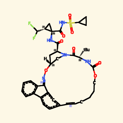 CC(C)(C)[C@@H]1NC(=O)OCCCC/C=C/c2ccc3c(c2)/C(=N\O[C@@H]2C[C@@H](C(=O)N[C@]4(C(=O)NS(=O)(=O)C5CC5)C[C@H]4C(F)F)N(C2)C1=O)c1ccccc1-3